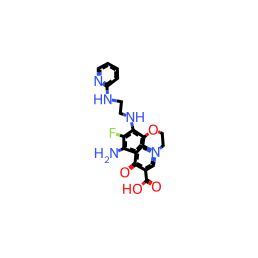 Nc1c(F)c(NCCNc2ccccn2)c2c3c1c(=O)c(C(=O)O)cn3CCO2